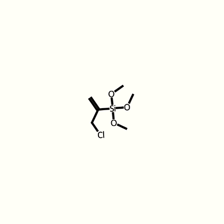 C=C(CCl)[Si](OC)(OC)OC